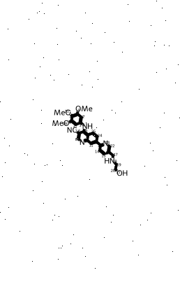 COc1cc(Nc2c(C#N)cnc3cc(-c4ccc(CNCCO)cn4)ccc23)cc(OC)c1OC